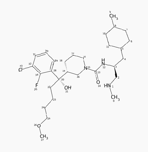 CNC[C@H](CC1CCC(C)CC1)NC(=O)N1CCC[C@@H]([C@@](O)(CCCCOC)c2cccc(Cl)c2F)C1